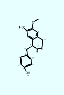 COc1cc2c(cc1O)[C@H](Cc1ccc(O)cc1)NCC2